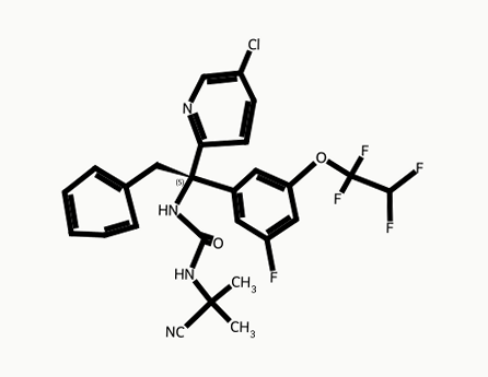 CC(C)(C#N)NC(=O)N[C@@](Cc1ccccc1)(c1cc(F)cc(OC(F)(F)C(F)F)c1)c1ccc(Cl)cn1